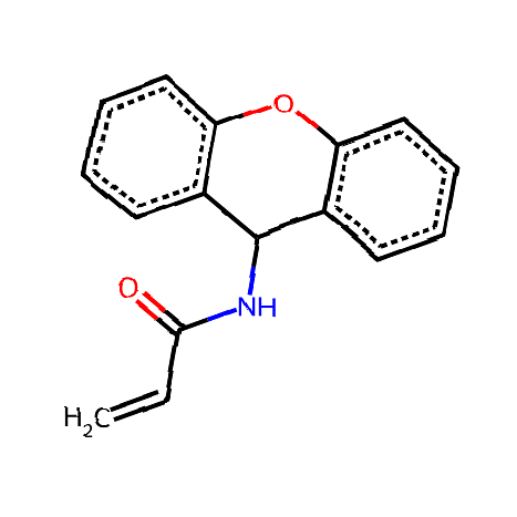 C=CC(=O)NC1c2ccccc2Oc2ccccc21